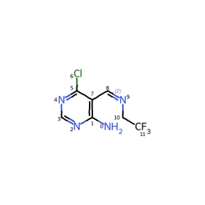 Nc1ncnc(Cl)c1/C=N\CC(F)(F)F